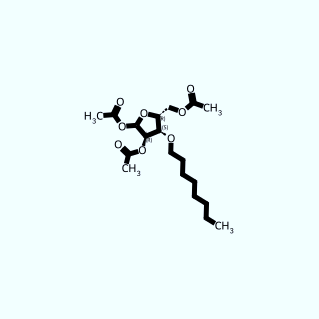 CCCCCCCCO[C@H]1[C@@H](COC(C)=O)OC(OC(C)=O)[C@@H]1OC(C)=O